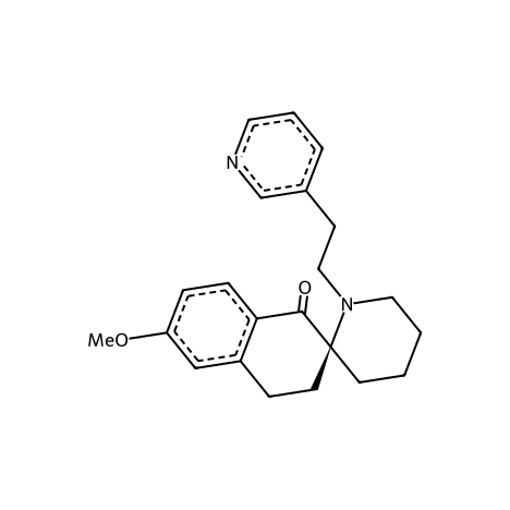 COc1ccc2c(c1)CC[C@@]1(CCCCN1CCc1cccnc1)C2=O